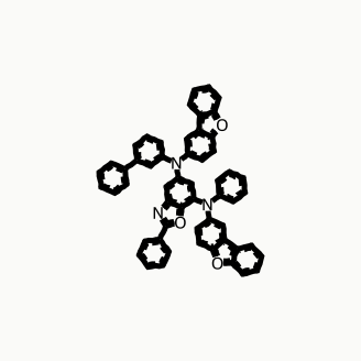 c1ccc(-c2cccc(N(c3cc(N(c4ccccc4)c4ccc5oc6ccccc6c5c4)c4oc(-c5ccccc5)nc4c3)c3ccc4oc5ccccc5c4c3)c2)cc1